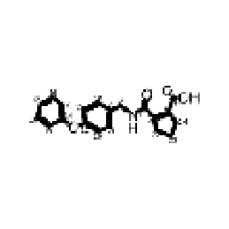 O=C(O)C1=C(C(=O)NCc2ccc(Oc3ccccc3)cc2)CCC1